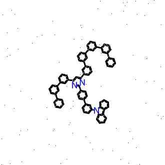 c1ccc(-c2cccc(-c3cccc(-c4cccc(-c5cccc(-c6cc(-c7cccc(-c8cccc(-c9ccccc9)c8)c7)nc(-c7ccc(-c8cccc(-n9c%10ccccc%10c%10ccccc%109)c8)cc7)n6)c5)c4)c3)c2)cc1